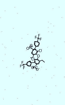 CCc1cc([N+](=O)[O-])c(-c2ccc(C(F)(F)F)cc2)c(Cl)c1Oc1c(CC)cc([N+](=O)[O-])c(-c2ccc(C(F)(F)F)cc2)c1Cl